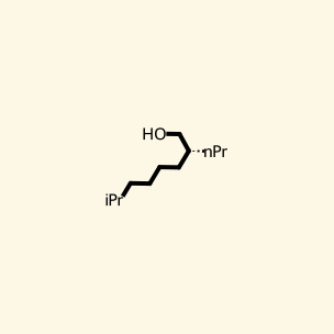 CCC[C@@H](CO)CCCCC(C)C